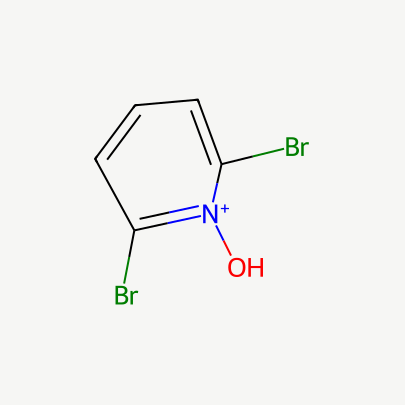 O[n+]1c(Br)cccc1Br